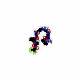 CN(CCN1CCC(OC(=O)Nc2ccccc2-c2ccccc2)CC1)C(=O)CCCCCNc1ccc(CC(=O)N(C)CCCN(C)C(=O)CO[C@H]2Cc3ccccc3C23CCN(CC[C@@]2(c4ccc(F)cc4)CN(C(=O)c4cc(C(F)(F)F)cc(C(F)(F)F)c4)CO2)CC3)cc1